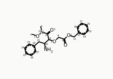 CON(C)C(=O)C(OCC(=O)OCc1ccccc1)C(N)Cc1ccccc1